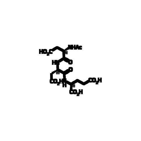 CC(=O)N[C@@H](CC(=O)O)C(=O)N[C@@H](CC(=O)O)C(=O)N[C@@H](CCC(=O)O)C(=O)O